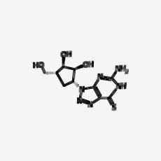 Nc1nc2c(nnn2[C@@H]2C[C@H](CO)[C@@H](O)[C@H]2O)c(=S)[nH]1